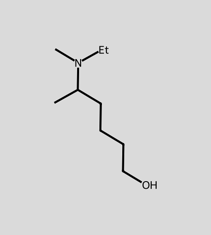 CCN(C)C(C)CCCCO